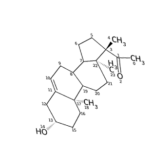 CC(=O)[C@@]1(C)CCC2C3CC=C4C[C@@H](O)CC[C@]4(C)C3CC[C@@]21C